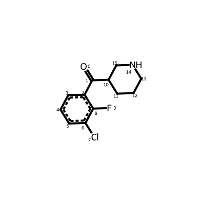 O=C(c1cccc(Cl)c1F)C1CCCNC1